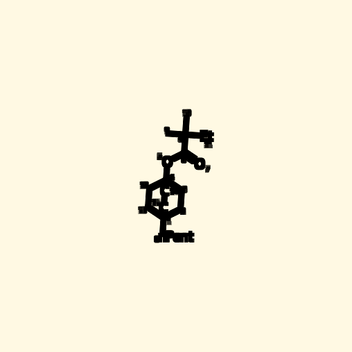 CCCCCC12CCC(OC(=O)C(C)(C)CC)(CC1)CC2